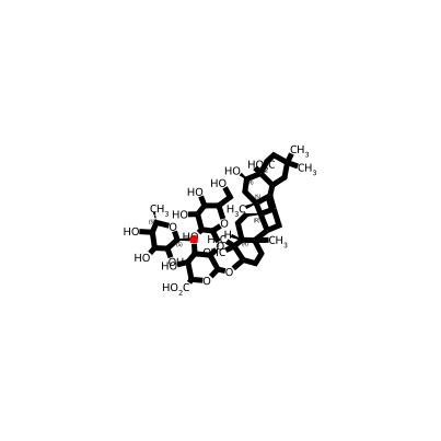 C[C@@H]1O[C@@H](OC2C(O)C(C(=O)O)OC(OC3CCC4(C)C5CC6=C7C8CC(C)(C)CCC8(C(=O)O)[C@H](O)C[C@@]7(C)[C@]65CC[C@H]4C3(C)C=O)C2OC2OC(CO)C(O)C(O)C2O)C(O)C(O)C1O